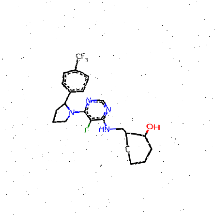 OC1CCCCC1CNc1ncnc(N2CCCC2c2ccc(C(F)(F)F)cc2)c1F